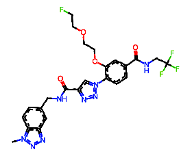 Cn1nnc2cc(CNC(=O)c3cn(-c4ccc(C(=O)NCC(F)(F)F)cc4OCCOCCF)nn3)ccc21